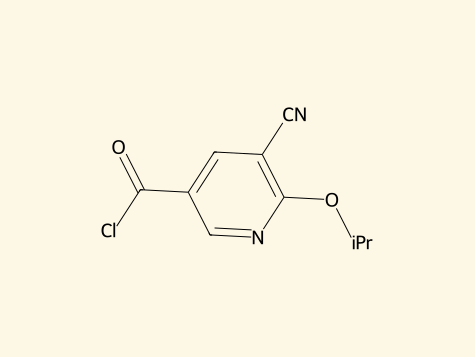 CC(C)Oc1ncc(C(=O)Cl)cc1C#N